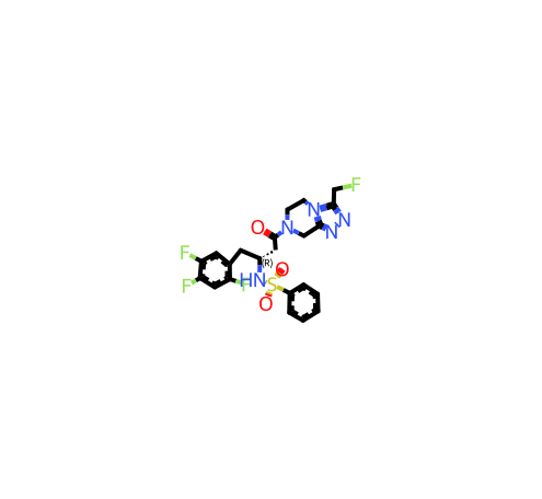 O=C(C[C@@H](Cc1cc(F)c(F)cc1F)NS(=O)(=O)c1ccccc1)N1CCn2c(CF)nnc2C1